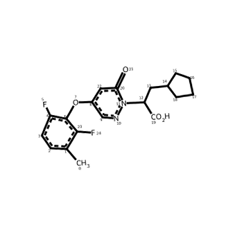 Cc1ccc(F)c(Oc2cnn(C(CC3CCCC3)C(=O)O)c(=O)c2)c1F